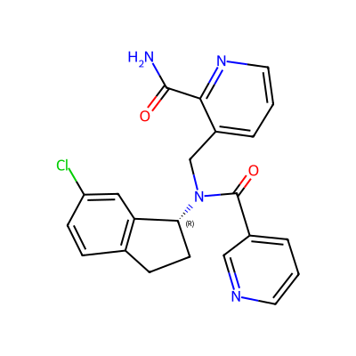 NC(=O)c1ncccc1CN(C(=O)c1cccnc1)[C@@H]1CCc2ccc(Cl)cc21